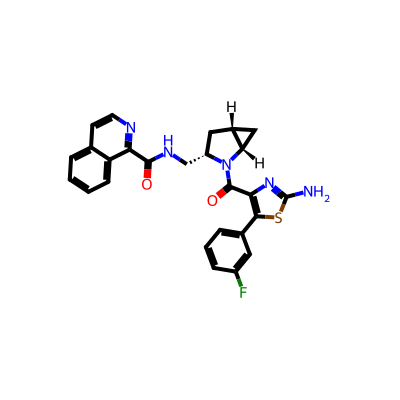 Nc1nc(C(=O)N2[C@H](CNC(=O)c3nccc4ccccc34)C[C@@H]3C[C@@H]32)c(-c2cccc(F)c2)s1